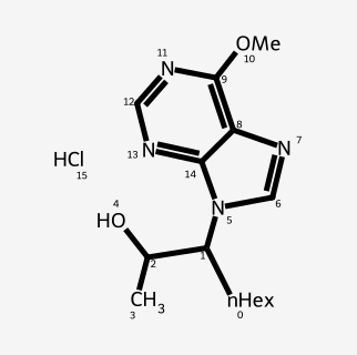 CCCCCCC(C(C)O)n1cnc2c(OC)ncnc21.Cl